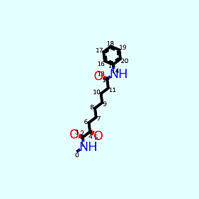 CNC(=O)C(=O)CCCCCCC(=O)Nc1ccccc1